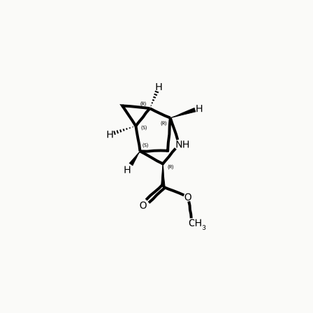 COC(=O)[C@@H]1N[C@@H]2C[C@H]1[C@H]1C[C@H]12